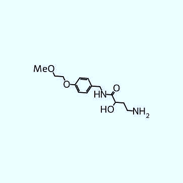 COCCOc1ccc(CNC(=O)C(O)CCN)cc1